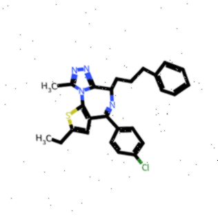 CCc1cc2c(s1)-n1c(C)nnc1C(CCCc1ccccc1)N=C2c1ccc(Cl)cc1